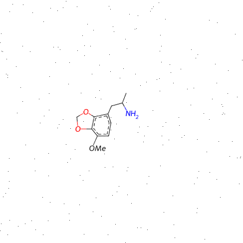 COc1ccc(CC(C)N)c2c1OCO2